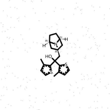 Cc1ccsc1C(O)(C[C@H]1C[C@H]2CC[C@@H](C1)N2C)c1sccc1C